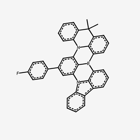 CC1(C)c2ccccc2N2c3cc(-c4ccc(F)cc4)cc4c3B(c3cccc1c32)c1cccc2c3ccccc3n-4c12